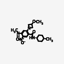 CNc1cc(N2CC(OC)C2)c(C(=O)N[C@H]2CC[C@H](C)CC2)cc1[N+](=O)[O-]